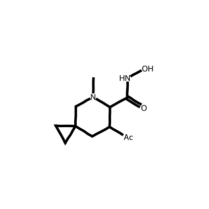 CC(=O)C1CC2(CC2)CN(C)C1C(=O)NO